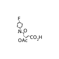 CC(=O)OC(=CC(=O)O)CC(=O)N(C)c1ccc(F)cc1